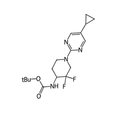 CC(C)(C)OC(=O)NC1CCN(c2ncc(C3CC3)cn2)CC1(F)F